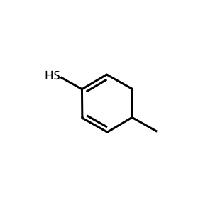 CC1C=CC(S)=CC1